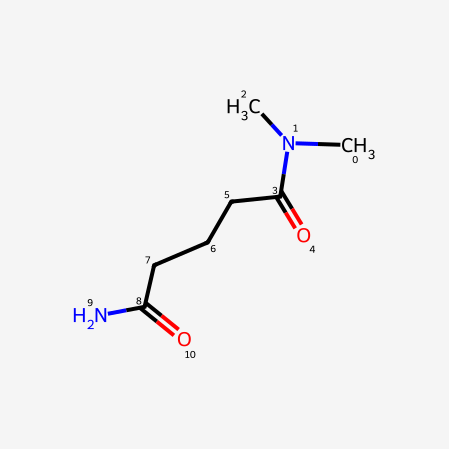 CN(C)C(=O)CCCC(N)=O